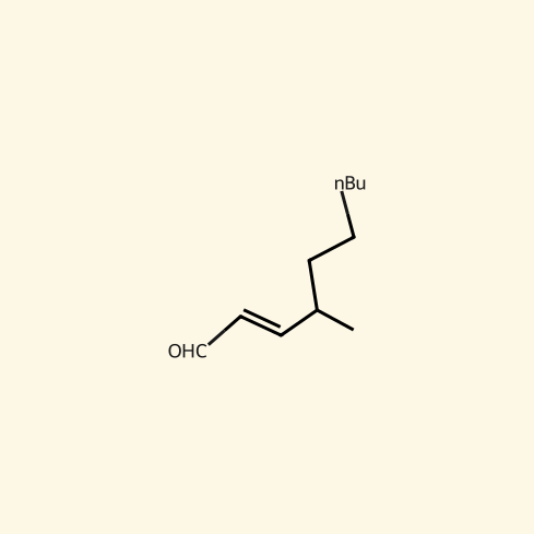 CCCCCCC(C)/C=C/C=O